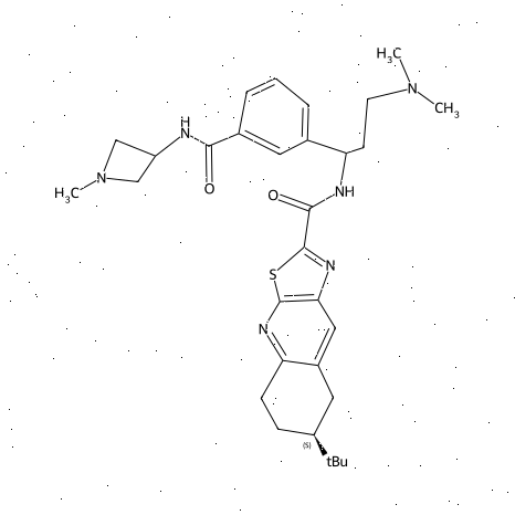 CN(C)CCC(NC(=O)c1nc2cc3c(nc2s1)CC[C@H](C(C)(C)C)C3)c1cccc(C(=O)NC2CN(C)C2)c1